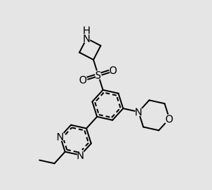 CCc1ncc(-c2cc(N3CCOCC3)cc(S(=O)(=O)C3CNC3)c2)cn1